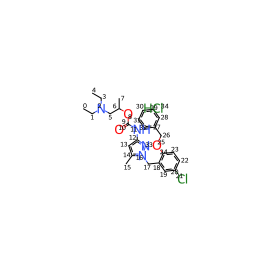 CCN(CC)CC(C)OC(=O)Nc1cc(C)n(Cc2cc(Cl)ccc2OCc2ccccc2)n1.Cl